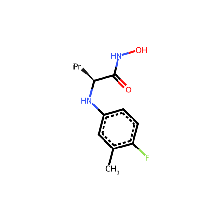 Cc1cc(N[C@H](C(=O)NO)C(C)C)ccc1F